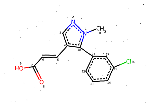 Cn1ncc(C=CC(=O)O)c1-c1cccc(Cl)c1